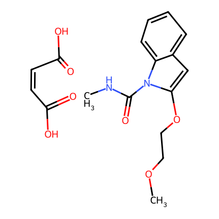 CNC(=O)n1c(OCCOC)cc2ccccc21.O=C(O)/C=C\C(=O)O